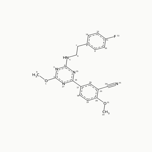 COc1nc(NCCc2ccc(F)cc2)nc(-c2ccc(OC)c(C#N)c2)n1